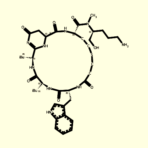 CC[C@@H](C)[C@@H]1NC(=O)[C@H]([C@@H](C)CC)NC(=O)[C@@H](Cc2c[nH]c3ccccc23)NC(=O)CCSCC[C@@H](C(=O)N(C)[C@H](CO)CCCN)NC(=O)[C@@H]2CC(=O)N=C1N2